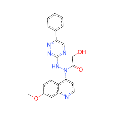 COc1ccc2c(N(Nc3ncc(-c4ccccc4)nn3)C(=O)CO)ccnc2c1